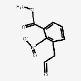 COC(=O)c1cccc(CC=O)c1[N+](=O)[O-]